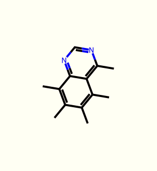 Cc1c(C)c(C)c2c(C)ncnc2c1C